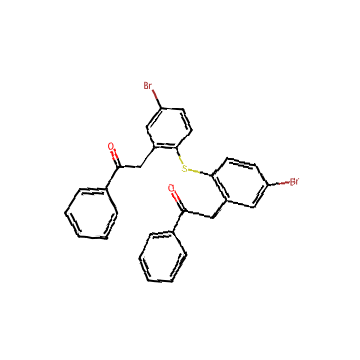 O=C(Cc1cc(Br)ccc1Sc1ccc(Br)cc1CC(=O)c1ccccc1)c1ccccc1